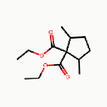 CCOC(=O)C1(C(=O)OCC)C(C)CCC1C